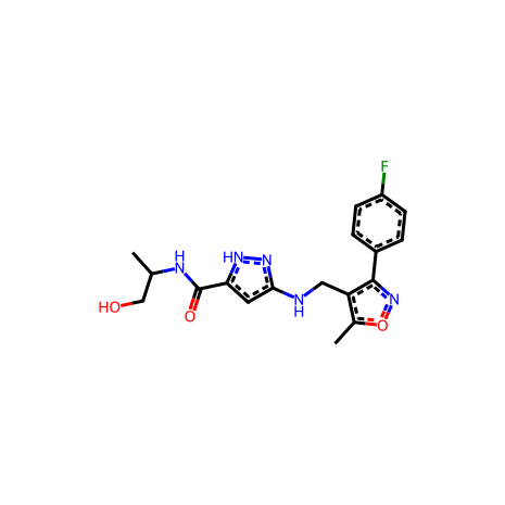 Cc1onc(-c2ccc(F)cc2)c1CNc1cc(C(=O)NC(C)CO)[nH]n1